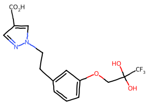 O=C(O)c1cnn(CCc2cccc(OCC(O)(O)C(F)(F)F)c2)c1